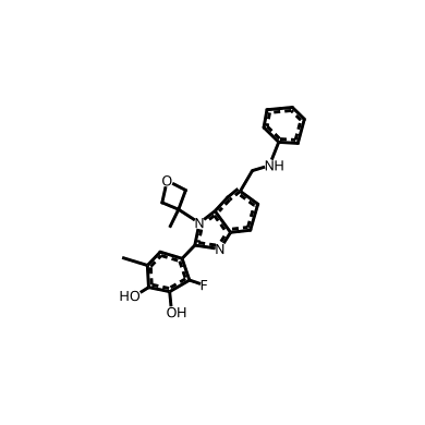 Cc1cc(-c2nc3ccc(CNc4ccccc4)cc3n2C2(C)COC2)c(F)c(O)c1O